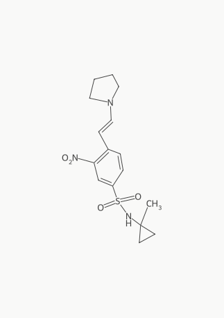 CC1(NS(=O)(=O)c2ccc(C=CN3CCCC3)c([N+](=O)[O-])c2)CC1